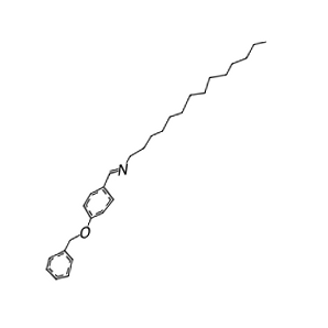 CCCCCCCCCCCCCCN=Cc1ccc(OCc2ccccc2)cc1